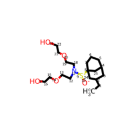 CCC1CC2CCCC([S+]([O-])N(CCOCCO)CCOCCO)(C1)C2